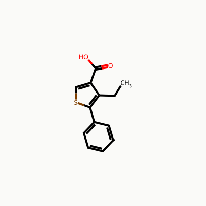 CCc1c(C(=O)O)csc1-c1ccccc1